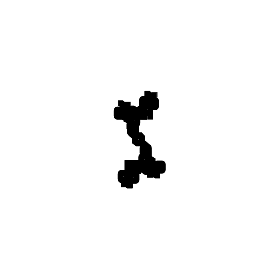 C=C(C)C(=O)OCCNC(=O)OC(COCC1CCC(COCC(COC(=O)C(=C)C)OC(=O)NCCOC(=O)C(=C)C)CC1)COC(=O)C(=C)C